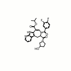 CC(C)OC(=O)C1=CN(C(=O)c2ccc(F)c(F)c2)C(C(=O)N2CCC(O)C2)Cc2c1[nH]c1ncccc21